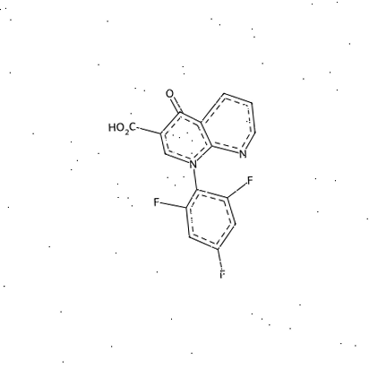 O=C(O)c1cn(-c2c(F)cc(F)cc2F)c2ncccc2c1=O